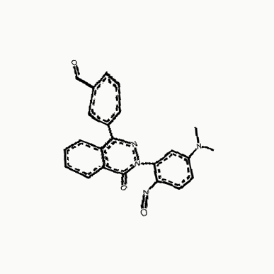 CN(C)c1ccc(N=O)c(-n2nc(-c3cccc(C=O)c3)c3ccccc3c2=O)c1